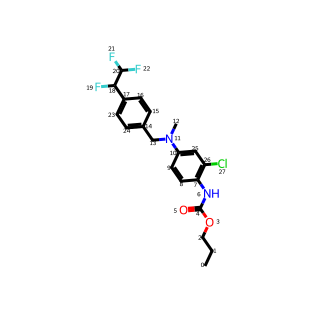 CCCOC(=O)Nc1ccc(N(C)Cc2ccc(C(F)C(F)F)cc2)cc1Cl